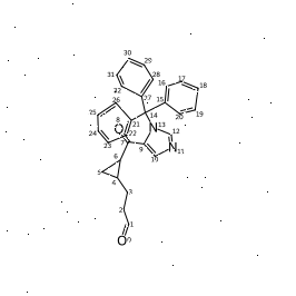 O=CCCC1CC1C(=O)c1cncn1C(c1ccccc1)(c1ccccc1)c1ccccc1